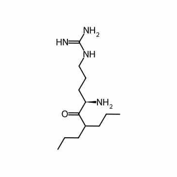 CCCC(CCC)C(=O)[C@H](N)CCCNC(=N)N